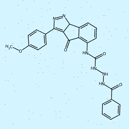 COc1ccc(C2=C3C(=O)c4c(NC(=O)NNNC(=O)c5ccccc5)cccc4C3N=N2)cc1